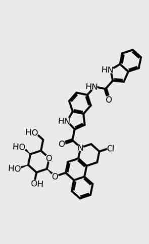 O=C(Nc1ccc2[nH]c(C(=O)N3CC(Cl)Cc4c3cc(O[C@@H]3OC(CO)[C@H](O)[C@H](O)C3O)c3ccccc43)cc2c1)c1cc2ccccc2[nH]1